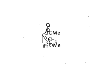 COc1cc2c(cc1OCc1ccccc1)CCNC2C=Cc1cc(C(C)C)c(OC)cc1C